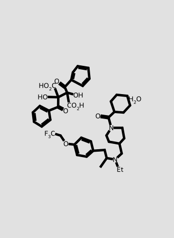 CCN(CC1CCN(C(=O)C2CCCCC2)CC1)C(C)Cc1ccc(OCC(F)(F)F)cc1.O.O=C(O)C(O)(C(=O)c1ccccc1)C(O)(C(=O)O)C(=O)c1ccccc1